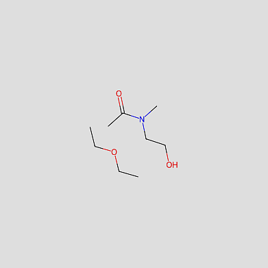 CC(=O)N(C)CCO.CCOCC